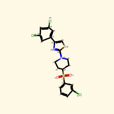 O=S(=O)(c1cccc(Cl)c1)C1CCN(c2nc(-c3cc(Cl)cc(Cl)c3)cs2)CC1